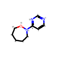 [c]1nccc(N2CCCCCO2)n1